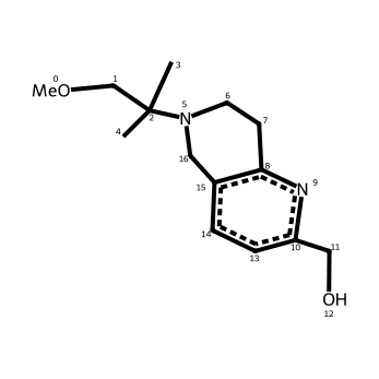 COCC(C)(C)N1CCc2nc(CO)ccc2C1